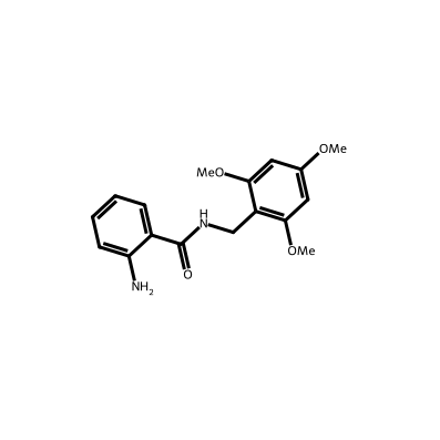 COc1cc(OC)c(CNC(=O)c2ccccc2N)c(OC)c1